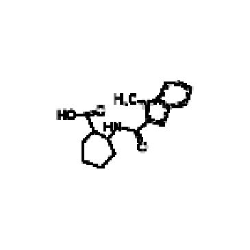 Cn1c(C(=O)NC2CCCC[C@H]2C(=O)O)cc2ccccc21